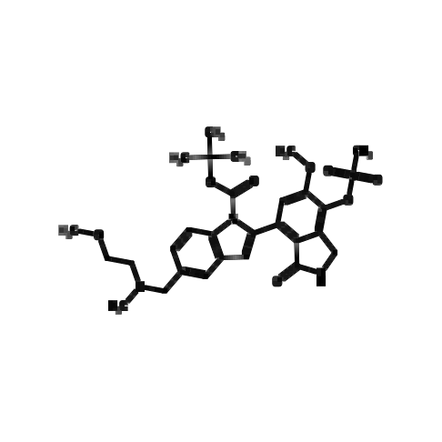 COCCN(C)Cc1ccc2c(c1)cc(-c1cc(OC)c(OS(C)(=O)=O)c3c1C(=O)NC3)n2C(=O)OC(C)(C)C